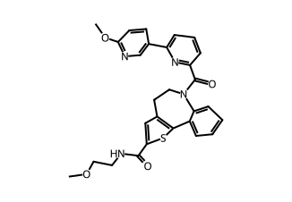 COCCNC(=O)c1cc2c(s1)-c1ccccc1N(C(=O)c1cccc(-c3ccc(OC)nc3)n1)CC2